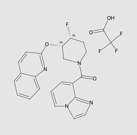 O=C(O)C(F)(F)F.O=C(c1cccn2ccnc12)N1CC[C@@H](F)[C@@H](Oc2ccc3ccccc3n2)C1